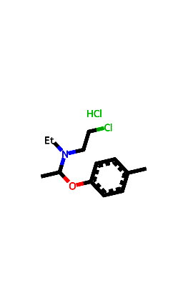 CCN(CCCl)C(C)Oc1ccc(C)cc1.Cl